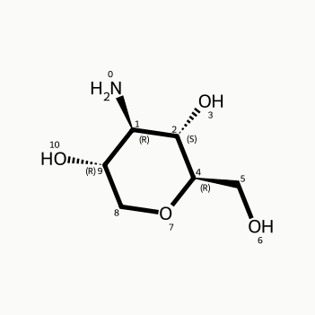 N[C@H]1[C@H](O)[C@@H](CO)OC[C@@H]1O